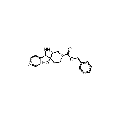 NC(c1ccncc1)C1(O)CCN(C(=O)OCc2ccccc2)CC1